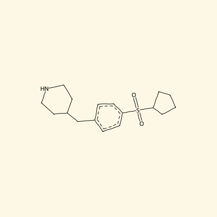 O=S(=O)(c1ccc(CC2CCNCC2)cc1)C1CCCC1